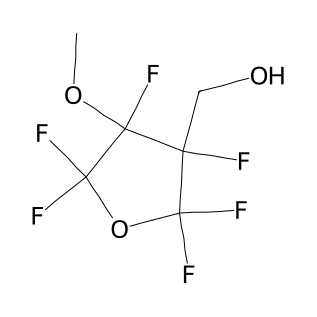 COC1(F)C(F)(F)OC(F)(F)C1(F)CO